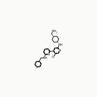 NC[C@H]1CC[C@H](Nc2cc(-c3cccc(NCc4ccccc4)n3)c(Cl)cn2)CC1